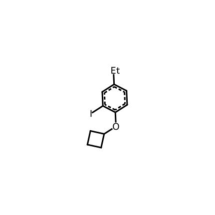 CCc1ccc(OC2CCC2)c(I)c1